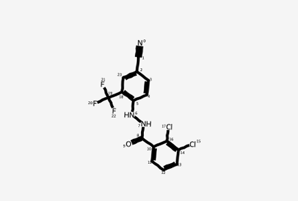 N#Cc1ccc(NNC(=O)c2cccc(Cl)c2Cl)c(C(F)(F)F)c1